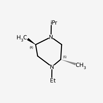 CCN1C[C@@H](C)N(C(C)C)C[C@@H]1C